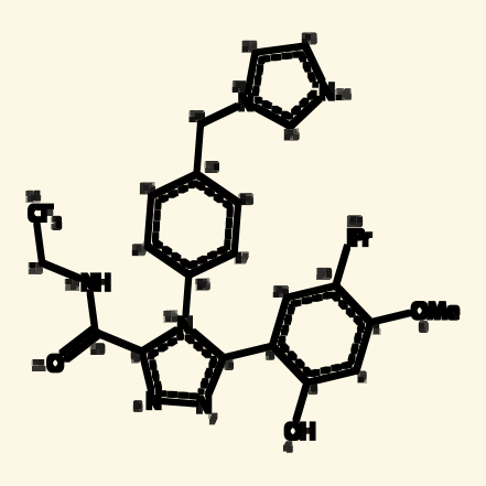 COc1cc(O)c(-c2nnc(C(=O)NCC(F)(F)F)n2-c2ccc(Cn3ccnc3)cc2)cc1C(C)C